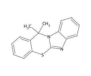 CC1(C)c2ccccc2Sc2nc3ccccc3n21